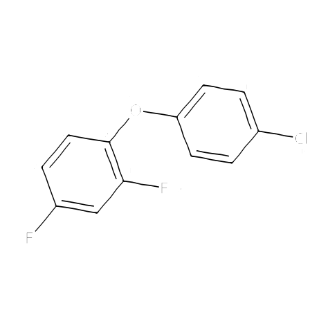 Fc1c[c]c(Oc2ccc(Cl)cc2)c(F)c1